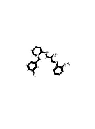 Nc1ccccc1OCC(O)CNC1CCCCN1Cc1cccc(F)c1